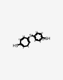 SC1=CCC=C(Sc2ccc(S)cc2)C=C1